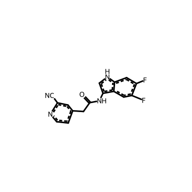 N#Cc1cc(CC(=O)Nc2c[nH]c3cc(F)c(F)cc23)ccn1